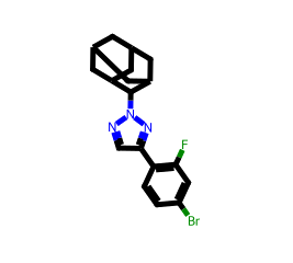 Fc1cc(Br)ccc1-c1cnn(C2C3CC4CC(C3)CC2C4)n1